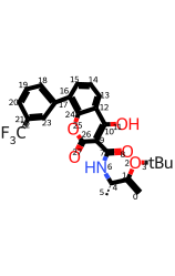 C=C(OC(C)(C)C)[C@H](C)NC(=O)c1c(O)c2cccc(-c3cccc(C(F)(F)F)c3)c2oc1=O